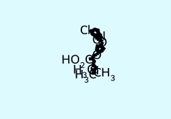 C[Si](C)(C)CCCC(COc1ccc(Oc2nc3ccc(Cl)cc3o2)cc1)C(=O)O